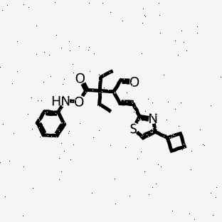 CCC(CC)(C(=O)ONc1ccccc1)C(C=O)C=Cc1nc(C2CCC2)cs1